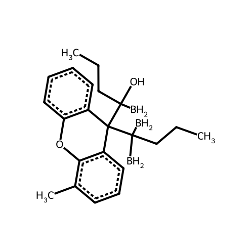 BC(B)(CCC)C1(C(B)(O)CCC)c2ccccc2Oc2c(C)cccc21